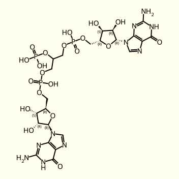 Nc1nc2c(ncn2[C@@H]2O[C@H](COP(=O)(O)OCC(COP(=O)(O)OC[C@H]3O[C@@H](n4cnc5c(=O)[nH]c(N)nc54)[C@H](O)[C@@H]3O)OP(=O)(O)O)[C@@H](O)[C@H]2O)c(=O)[nH]1